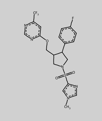 Cn1cnc(S(=O)(=O)N2CC(COc3cc(C(F)(F)F)ncn3)C(c3ccc(F)cc3)C2)c1